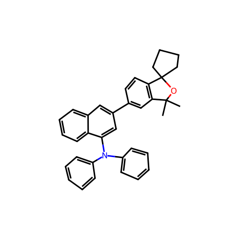 CC1(C)OC2(CCCC2)c2ccc(-c3cc(N(c4ccccc4)c4ccccc4)c4ccccc4c3)cc21